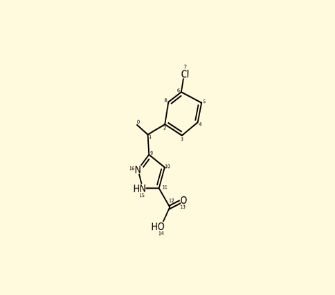 CC(c1cccc(Cl)c1)c1cc(C(=O)O)[nH]n1